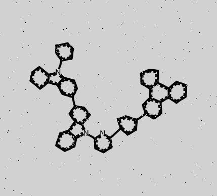 c1ccc(-n2c3ccccc3c3cc(-c4ccc5c(c4)c4ccccc4n5-c4cccc(-c5ccc(-c6ccc7c8ccccc8c8ccccc8c7c6)cc5)n4)ccc32)cc1